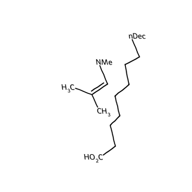 CCCCCCCCCCCCCCCCCC(=O)O.CNC=C(C)C